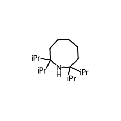 CC(C)C1(C(C)C)CCCCCC(C(C)C)(C(C)C)N1